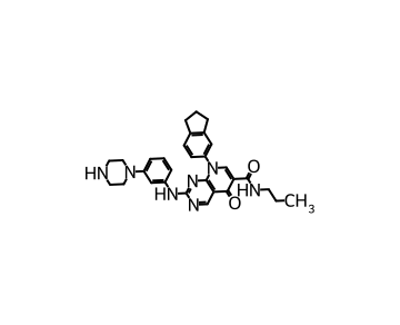 CCCNC(=O)c1cn(-c2ccc3c(c2)CCC3)c2nc(Nc3cccc(N4CCNCC4)c3)ncc2c1=O